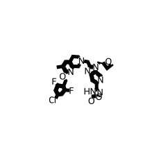 Cc1cc2c(nc1OCc1c(F)cc(Cl)cc1F)CN(Cc1nc3cc(-c4noc(=O)[nH]4)ncc3n1C[C@@H]1CCO1)CC2